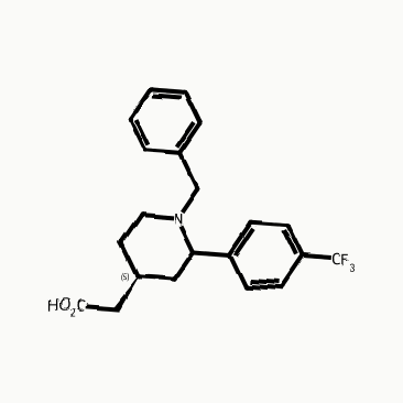 O=C(O)C[C@H]1CCN(Cc2ccccc2)C(c2ccc(C(F)(F)F)cc2)C1